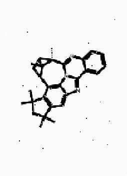 CC1(C)CC(C)(C)c2c1cc1nc3c4ccccc4nc4n3c1c2C1CC[C@]4(C)C1(C)C